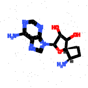 Nc1ncnc2c1ncn2C1O[C@@]2(CC[C@@H]2N)C(O)C1O